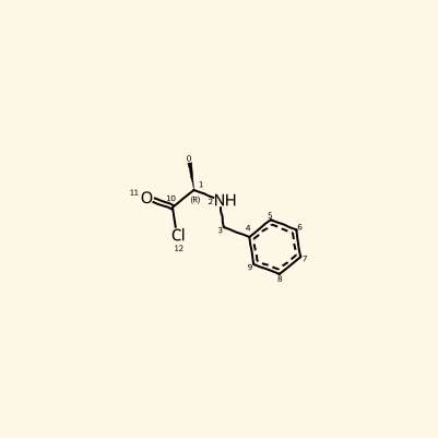 C[C@@H](NCc1ccccc1)C(=O)Cl